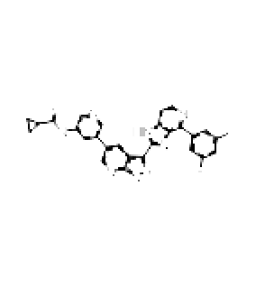 Cc1cc(F)cc(-c2nccc3[nH]c(-c4n[nH]c5ncc(-c6cncc(NC(=O)C7CC7)c6)cc45)nc23)c1